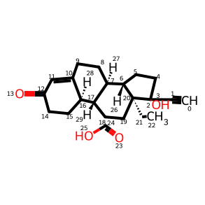 C#C[C@]1(O)CC[C@H]2[C@@H]3CCC4=CC(=O)CC[C@@H]4[C@H]3CC[C@@]21CC.O=CO